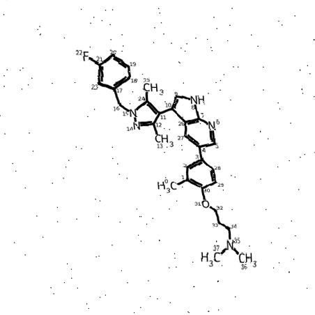 Cc1cc(-c2cnc3[nH]cc(-c4c(C)nn(Cc5cccc(F)c5)c4C)c3c2)ccc1OCCCN(C)C